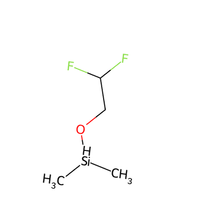 C[SiH](C)OCC(F)F